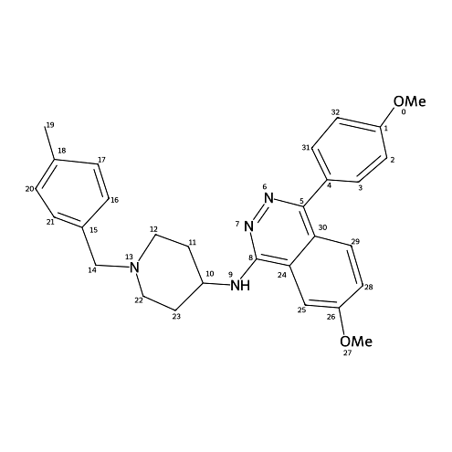 COc1ccc(-c2nnc(NC3CCN(Cc4ccc(C)cc4)CC3)c3cc(OC)ccc23)cc1